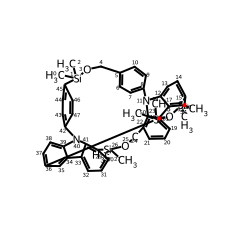 C[Si]1(C)OCc2ccc(cc2)-n2c3ccc4cc3c3cccc(c32)CO[Si](C)(C)c2cccc3c5cc(ccc5n(c23)-c2ccc1cc2)[Si](C)(C)O[Si]4(C)C